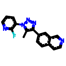 Cc1c(-c2ccc3ccncc3c2)nnn1-c1cccnc1F